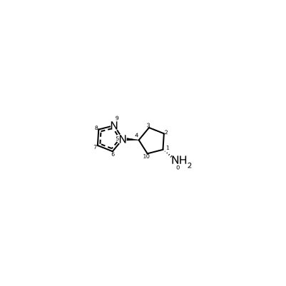 N[C@H]1CC[C@H](n2cccn2)C1